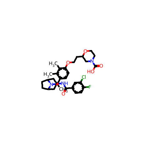 Cc1c(OCCC2CN(C(=O)O)CCO2)ccc(C(C)N2C3CCC2CC(NC(=O)c2ccc(F)c(Cl)c2)C3)c1C